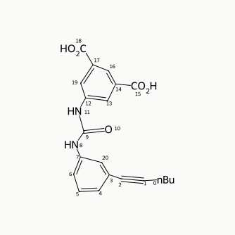 CCCCC#Cc1cccc(NC(=O)Nc2cc(C(=O)O)cc(C(=O)O)c2)c1